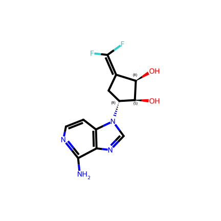 Nc1nccc2c1ncn2[C@@H]1CC(=C(F)F)[C@@H](O)[C@H]1O